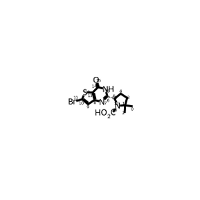 CC1(C)CC[C@@H](c2nc3cc(Br)sc3c(=O)[nH]2)N1C(=O)O